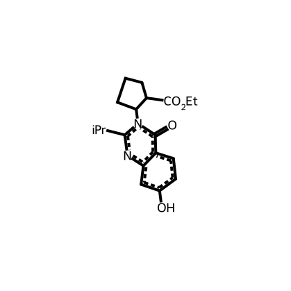 CCOC(=O)C1CCCC1n1c(C(C)C)nc2cc(O)ccc2c1=O